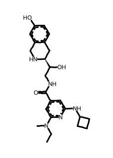 CCN(C)c1cc(C(=O)NCC(O)[C@@H]2Cc3ccc(O)cc3CN2)cc(NC2CCC2)n1